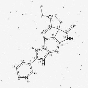 CCOC(=O)C1(CC)C(=O)Nc2cc3[nH]c(-c4cccnc4)nc3cc21